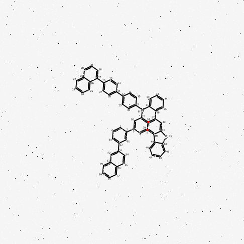 c1cc(-c2cccc(N(c3ccc(-c4ccc(-c5cccc6ccccc56)cc4)cc3)c3ccccc3-c3ccc4c(c3)sc3ccccc34)c2)cc(-c2ccc3ccccc3c2)c1